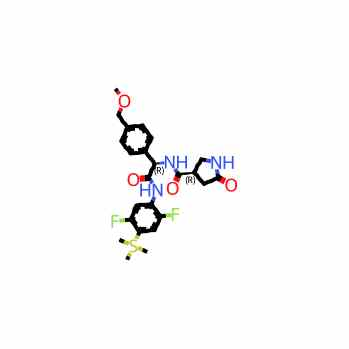 COCc1ccc([C@@H](NC(=O)[C@H]2CNC(=O)C2)C(=O)Nc2cc(F)c(S(C)(C)C)cc2F)cc1